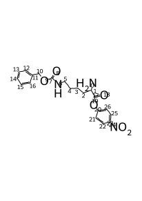 NC(CCCCNC(=O)OCc1ccccc1)C(=O)Oc1ccc([N+](=O)[O-])cc1